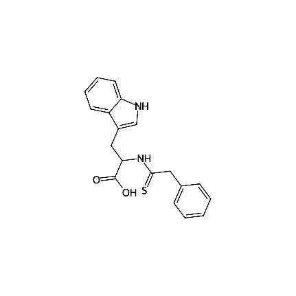 O=C(O)C(Cc1c[nH]c2ccccc12)NC(=S)Cc1ccccc1